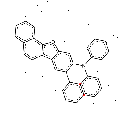 c1ccc(-c2cc3c(cc2N(c2ccccc2)c2ccccc2)oc2c4ccccc4ccc32)cc1